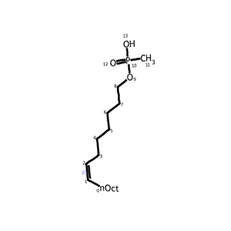 CCCCCCCC/C=C\CCCCCCOP(C)(=O)O